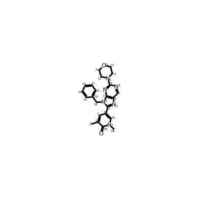 Cc1cc(-c2nc3cnc(N4CCOCC4)nc3n2Cc2ccccc2)cn(C)c1=O